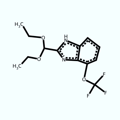 CCOC(OCC)c1nc2c(OC(F)(F)F)cccc2[nH]1